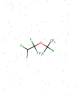 FC(F)C(F)(F)OC(F)(C(F)(F)F)C(F)(F)F